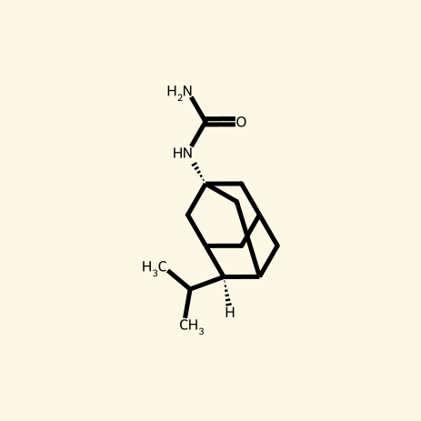 CC(C)[C@H]1C2CC3CC1C[C@](NC(N)=O)(C3)C2